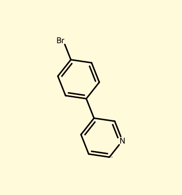 Brc1ccc(-c2cc[c]nc2)cc1